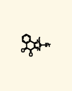 CC(C)c1nc2c(n1C)-c1ccccc1C(=O)C2=O